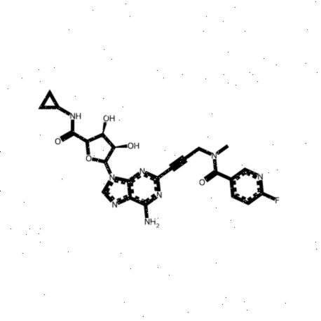 CN(CC#Cc1nc(N)c2ncn(C3OC(C(=O)NC4CC4)[C@@H](O)[C@H]3O)c2n1)C(=O)c1ccc(F)nc1